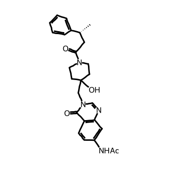 CC(=O)Nc1ccc2c(=O)n(CC3(O)CCN(C(=O)C[C@@H](C)c4ccccc4)CC3)cnc2c1